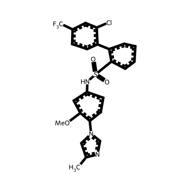 COc1cc(NS(=O)(=O)c2ccccc2-c2ccc(C(F)(F)F)cc2Cl)ccc1-n1cnc(C)c1